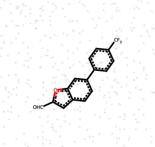 O=Cc1cc2ccc(-c3ccc(C(F)(F)F)cc3)cc2o1